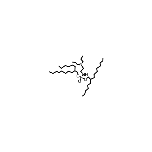 CCCCCCCCC(CCCCCC)COP(=O)(NCCN(CCC)CCC)OCC(CCCCCC)CCCCCCCC